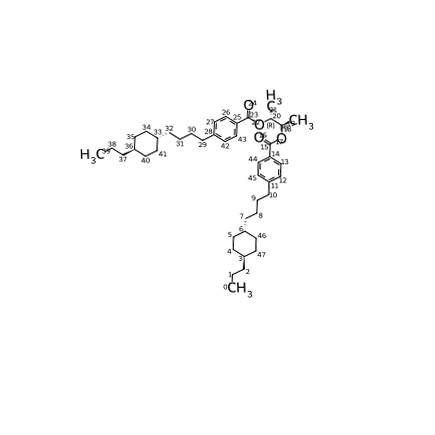 CCC[C@H]1CC[C@H](CCCCc2ccc(C(=O)O[C@H](C)[C@@H](C)OC(=O)c3ccc(CCCC[C@H]4CC[C@H](CCC)CC4)cc3)cc2)CC1